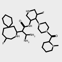 CN1CCCCC1C(=O)N1CCN(C2C(F)CNCC2NC(=O)C(C(N)N)C2CC3(CCCCC3)CCC(F)CN2)CC1